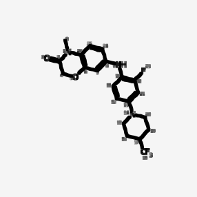 CN1C(=O)COc2cc(Nc3ccc(N4CCC(C(F)(F)F)CC4)cc3F)ccc21